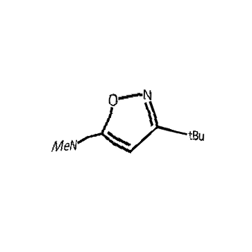 CNc1cc(C(C)(C)C)no1